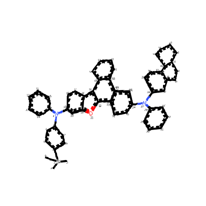 C[Si](C)(C)c1ccc(N(c2ccccc2)c2ccc3c(c2)oc2c4ccc(N(c5ccccc5)c5ccc6c(ccc7ccccc76)c5)cc4c4ccccc4c32)cc1